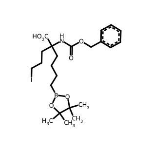 CC1(C)OB(CCCCC(CCCI)(NC(=O)OCc2ccccc2)C(=O)O)OC1(C)C